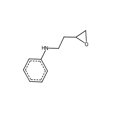 c1ccc(NCCC2CO2)cc1